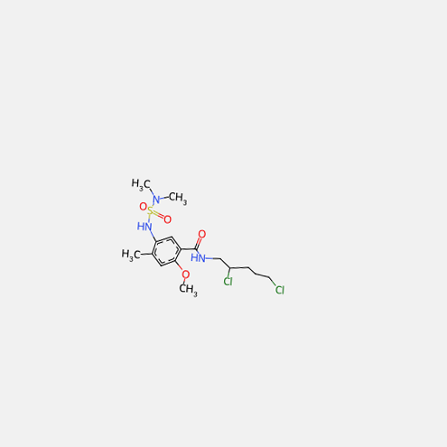 COc1cc(C)c(NS(=O)(=O)N(C)C)cc1C(=O)NCC(Cl)CCCCl